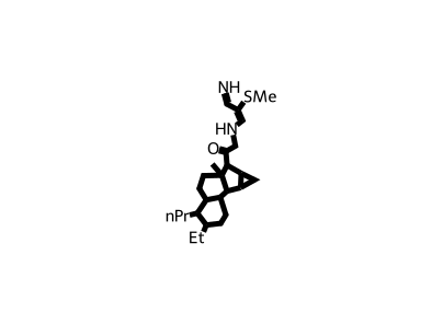 CCCC1C(CC)CCC2C1CCC1(C)C(C(=O)CN/C=C(\C=N)SC)C3CC3C21